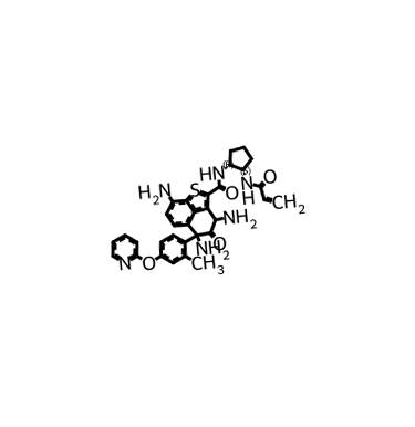 C=CC(=O)N[C@H]1CCC[C@H]1NC(=O)c1sc2c(N)ccc3c2c1C(N)C(=O)C3(N)c1ccc(Oc2ccccn2)cc1C